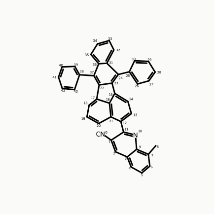 [C-]#[N+]c1cc2cccc(C)c2nc1-c1ccc2c3c(cccc13)-c1c-2c(-c2ccccc2)c2ccccc2c1-c1ccccc1